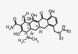 [H]/N=C1/C(C(N)=O)=C(O)[C@@H](N(C)C)[C@@H]2C[C@@H]3Cc4c(CN(CC)NCC)ccc(O)c4C(=O)C3=C(O)[C@]12O